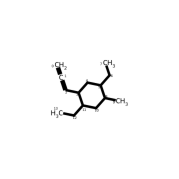 C=C=CC1CC(CC)C(C)CC1CC